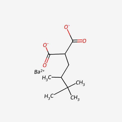 CC(CC(C(=O)[O-])C(=O)[O-])C(C)(C)C.[Ba+2]